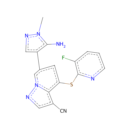 Cn1ncc(-c2cc(Sc3ncccc3F)c3c(C#N)cnn3c2)c1N